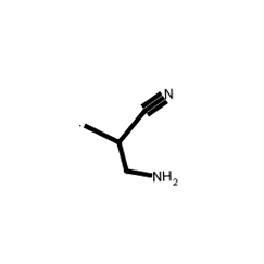 [CH2]C(C#N)CN